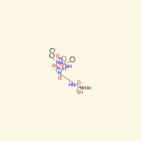 CCNC(=O)[C@]1(Cc2ccccc2)CCCN(C(=O)[C@@H](Cc2ccc3ccccc3c2)NC(=O)N2CCN(C(=O)CCCCCNC(=O)C(CS)NC(C)=O)CC2)C1